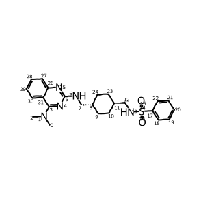 CN(C)c1nc(NC[C@H]2CC[C@H](CNS(=O)(=O)c3ccccc3)CC2)nc2ccccc12